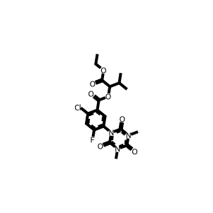 CCOC(=O)C(OC(=O)c1cc(-n2c(=O)n(C)c(=O)n(C)c2=O)c(F)cc1Cl)C(C)C